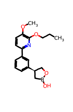 CCCOc1nc(-c2cccc([C@H]3COB(O)C3)c2)ccc1OC